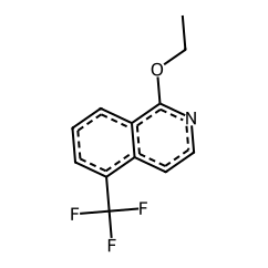 CCOc1nccc2c(C(F)(F)F)cccc12